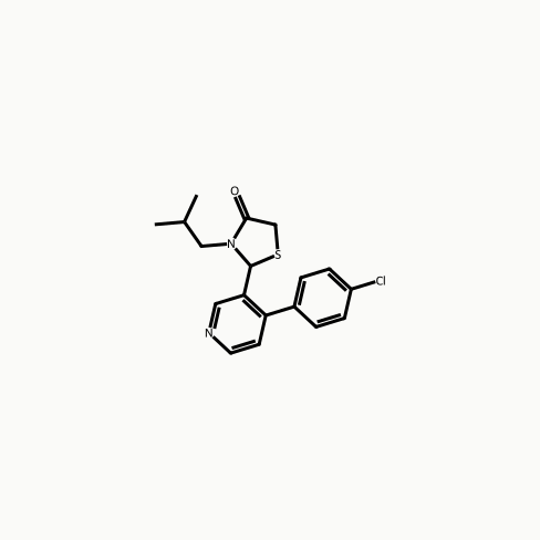 CC(C)CN1C(=O)CSC1c1cnccc1-c1ccc(Cl)cc1